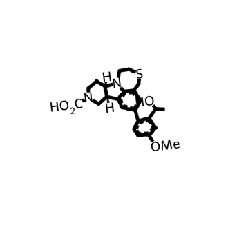 COc1ccc(-c2cc3c4c(c2)[C@@H]2CN(C(=O)O)CC[C@@H]2N4CCSC3)c(C(C)O)c1